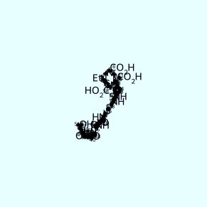 CCN1CCN(CC(=O)O)CCN(CC(=O)O)C(Cc2ccc(NC(=S)NCCSSCCNC(=O)CNC(=O)CNC(=O)C(C)(C)CC(C)(CC)C(=O)NCC(C)O)cc2)CN(CC(=O)O)CC1